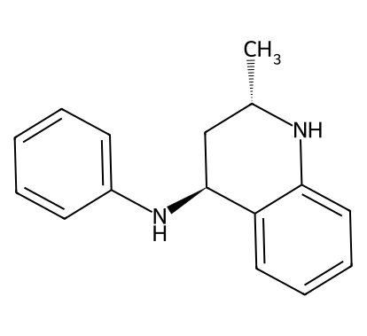 C[C@H]1C[C@H](Nc2ccccc2)c2ccccc2N1